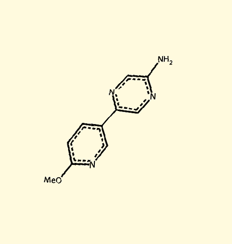 COc1ccc(-c2cnc(N)cn2)cn1